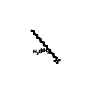 CCCCCCCCCCCCCCCC[N+](C)(C)C.N.O